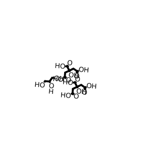 O=C(O)CC(O)(CC(=O)O)C(=O)O.O=C(O)CC(O)(CC(=O)O)C(=O)O.OCC(O)CO